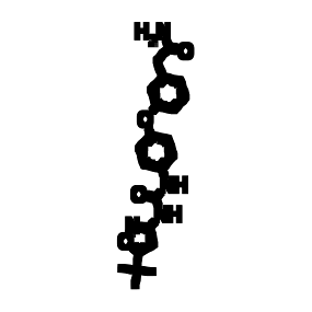 CC(C)(C)c1cc(NC(=O)Nc2ccc(Oc3cccc(CC(N)=O)c3)cc2)no1